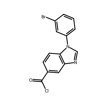 O=C(Cl)c1ccc2c(c1)ncn2-c1cccc(Br)c1